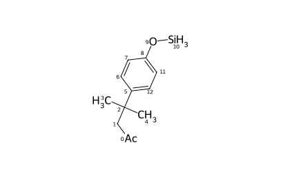 CC(=O)CC(C)(C)c1ccc(O[SiH3])cc1